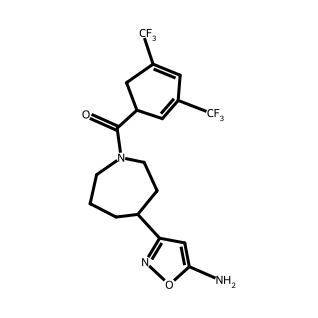 Nc1cc(C2CCCN(C(=O)C3C=C(C(F)(F)F)C=C(C(F)(F)F)C3)CC2)no1